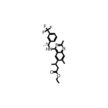 CCOC(=O)CC(C)c1cc2c(N[C@H](C)c3cccc(C(F)(F)F)c3)nc(C)nc2cc1C